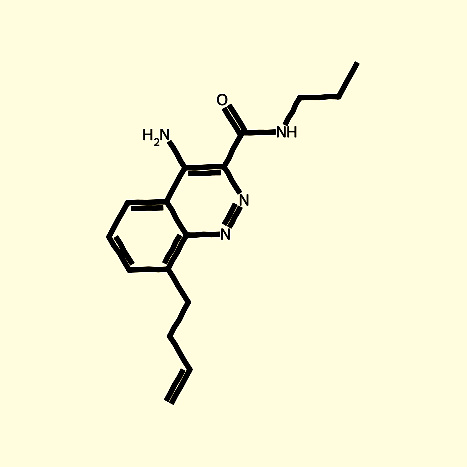 C=CCCc1cccc2c(N)c(C(=O)NCCC)nnc12